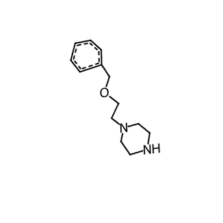 c1ccc(COCCN2CCNCC2)cc1